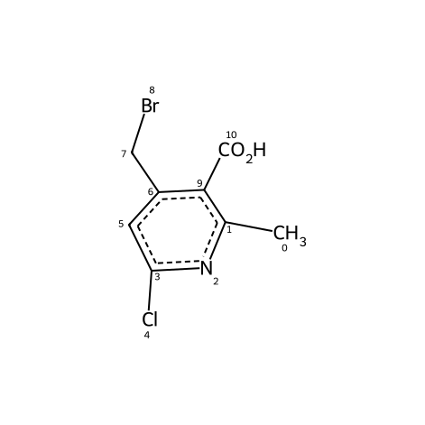 Cc1nc(Cl)cc(CBr)c1C(=O)O